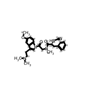 COc1ccc2c(c1)c(CCN(C)C)cn2C(=O)CN(C)C(=O)[C@@H](BC#N)Cc1ccccc1